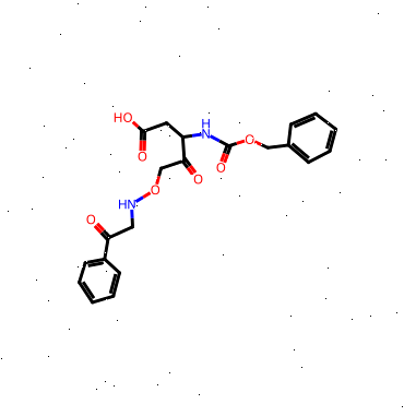 O=C(O)CC(NC(=O)OCc1ccccc1)C(=O)CONCC(=O)c1ccccc1